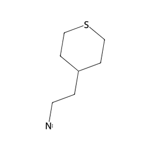 [N]CCC1CCSCC1